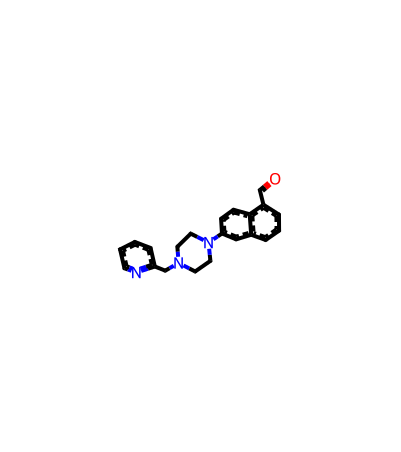 O=Cc1cccc2cc(N3CCN(Cc4ccccn4)CC3)ccc12